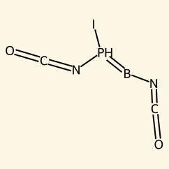 O=C=NB=[PH](I)N=C=O